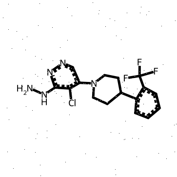 NNc1nncc(N2CCC(c3ccccc3C(F)(F)F)CC2)c1Cl